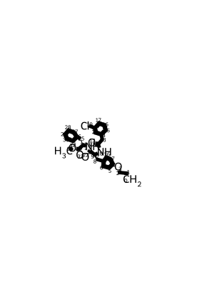 C=CCOc1ccc(C[C@H](NC(=O)Cc2cccc(Cl)c2)C(=O)N[C@@H](Cc2ccccc2)C(=O)OC)cc1